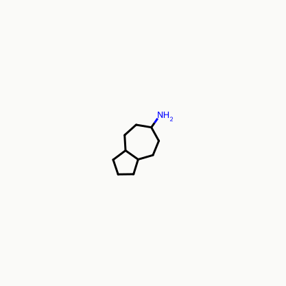 NC1CCC2CCCC2CC1